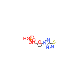 CSc1ncnc2c1ncn2C1CC[C@@H](COP(=O)(O)O)O1